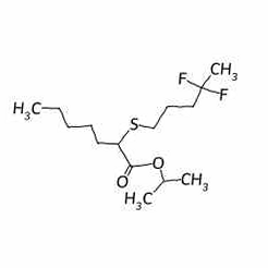 CCCCCC(SCCCC(C)(F)F)C(=O)OC(C)C